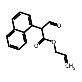 C=CCOC(=O)C(C=O)c1cccc2ccccc12